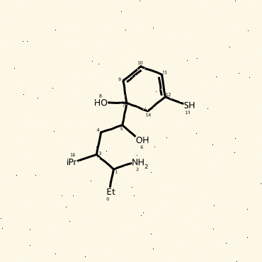 CCC(N)C(CC(O)C1(O)C=CC=C(S)C1)C(C)C